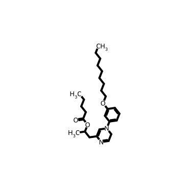 CCCCCCCCCOc1cccc(N2C=C(CC(C)OC(=O)CCCC)N=CC2)c1